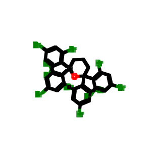 Brc1cc(Br)c(C2(c3c(Br)cc(Br)cc3Br)CCC[Si](c3c(Br)cc(Br)cc3Br)(c3c(Br)cc(Br)cc3Br)O2)c(Br)c1